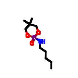 CCCCCNP1(=O)OCC(C)(C)CO1